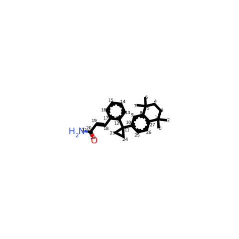 CC1(C)CCC(C)(C)c2cc(C3(c4ccccc4C=CC(N)=O)CC3)ccc21